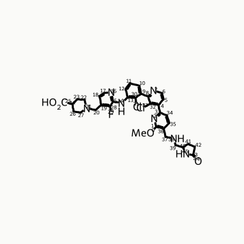 COc1nc(-c2ccnc(-c3cccc(Nc4nccc(CN5CCC(C(=O)O)CC5)c4F)c3Cl)c2Cl)ccc1CNCC1CCC(=O)N1